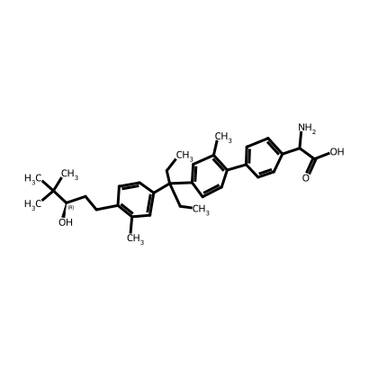 CCC(CC)(c1ccc(CC[C@@H](O)C(C)(C)C)c(C)c1)c1ccc(-c2ccc(C(N)C(=O)O)cc2)c(C)c1